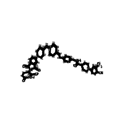 N#Cc1ccc(N2CCC(C(=O)Nc3ccc(CCC4CCN(CC5CCN(c6ccc7c(c6)C(=O)N(C6CCC(=O)NC6=O)C7=O)CC5)CC4)cn3)CC2)cc1C(F)(F)F